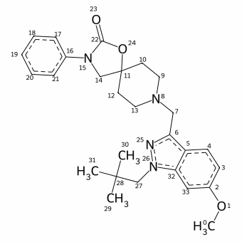 COc1ccc2c(CN3CCC4(CC3)CN(c3ccccc3)C(=O)O4)nn(CC(C)(C)C)c2c1